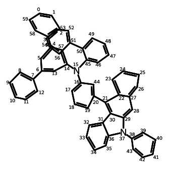 c1ccc(-c2cc(-c3ccccc3)cc(N(c3cccc(-c4c5ccccc5cc5c4c4ccccc4n5-c4ccccc4)c3)c3ccccc3-c3ccccc3)c2)cc1